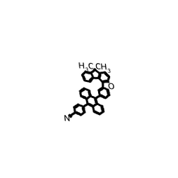 CC1(C)c2ccccc2-c2c1ccc1oc3ccc(-c4c5ccccc5c(-c5ccc(C#N)cc5)c5ccccc45)cc3c21